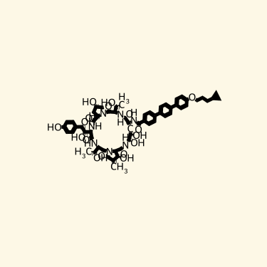 C[C@@H](O)C1NC(=O)C([C@H](O)[C@@H](O)c2ccc(O)cc2)NC(=O)[C@@H]2C[C@@H](O)CN2C(=O)C([C@@H](C)O)NC(=O)[C@@H](NC(=O)c2ccc(-c3ccc(-c4ccc(OCCCC5CC5)cc4)cc3)cc2)C[C@@H](O)[C@@H](O)NC(=O)C2[C@@H](O)[C@@H](C)CN2C1=O